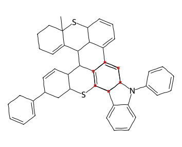 CC12CCCC=C1C(C1C3C=CCCC3SC3CC(C4=CC=CCC4)C=CC31)C1C(C3=CC4C(C=C3)c3ccccc3N4c3ccccc3)=CC=CC1S2